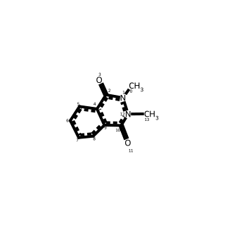 Cn1c(=O)c2ccccc2c(=O)n1C